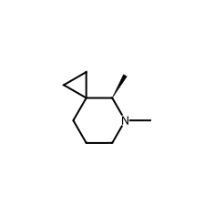 C[C@H]1N(C)CCCC12CC2